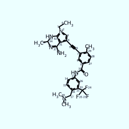 CCn1cc(C#Cc2cc(C(=O)Nc3ccc(CN(C)C)c(C(F)(F)F)c3)ccc2C)c2c1NC(C)N=C2N